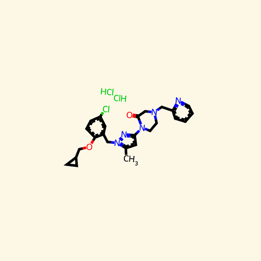 Cc1cc(N2CCN(Cc3ccccn3)CC2=O)nn1Cc1cc(Cl)ccc1OCC1CC1.Cl.Cl